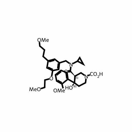 COCCCc1cc(CN(C(=O)[C@H]2CN(C(=O)O)CC[C@]2(O)c2ccccc2OC)C2CC2)cc(OCCOC)c1